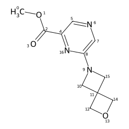 COC(=O)c1cncc(N2CC3(COC3)C2)n1